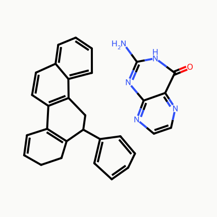 C1=CC2=C(CC1)C(c1ccccc1)Cc1c2ccc2ccccc12.Nc1nc2nccnc2c(=O)[nH]1